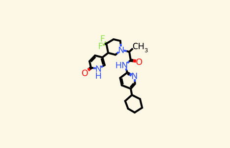 CC(C(=O)Nc1ccc(C2CCCCC2)cn1)N1CCC(F)(F)C(c2ccc(=O)[nH]c2)C1